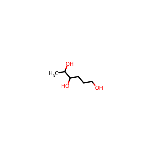 CC(O)[C](O)CCCO